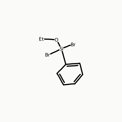 CCO[Si](Br)(Br)c1ccccc1